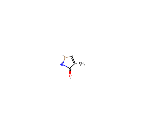 C.O=c1ccs[nH]1